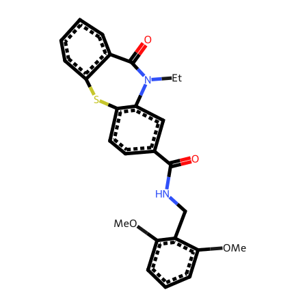 CCN1C(=O)c2ccccc2Sc2ccc(C(=O)NCc3c(OC)cccc3OC)cc21